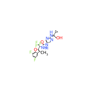 Cc1c(C(NC(=O)Nc2cnc(N[C@H](CO)C3CC3)nc2)C(F)(F)F)oc2c(F)cc(F)cc12